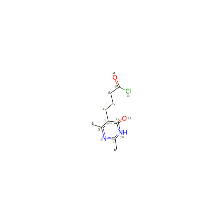 Cc1nc(C)c(CCCC(=O)Cl)c(=O)[nH]1